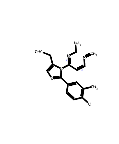 C=N/C=C\C(=N/CN)n1c(CC=O)cnc1-c1ccc(Cl)c(C)c1